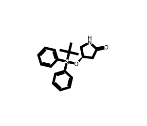 CC(C)(C)[Si](O[C@H]1CNC(=O)C1)(c1ccccc1)c1ccccc1